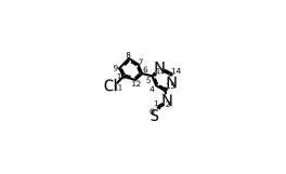 S=C=Nc1cc(-c2cccc(Cl)c2)ncn1